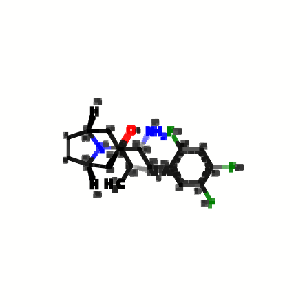 CC(=O)N[C@H](C)C(=O)N1[C@@H]2CC[C@H]1C[C@H]([C@H](N)Cc1cc(F)c(F)cc1F)C2